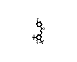 COc1ccc(C(=O)C=Cc2cc(C(C)(C)C)c(OC)c(C(C)(C)C)c2)cc1